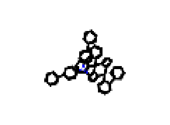 C1=CC2=C(CC1)[C@@]1(c3ccccc32)c2ccccc2C2(c3ccccc3-c3ccccc32)c2c(N(C3=CCC(c4ccccc4)C=C3)c3ccc(-c4ccccc4)cc3)cccc21